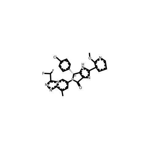 COc1ncccc1-c1nc2c([nH]1)[C@@H](c1ccc(Cl)cc1)N(c1cc(C)c3nnc(C(F)F)n3c1)C2=O